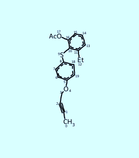 CC#CCOc1ccc(Sc2c(CC)cccc2OC(C)=O)cc1